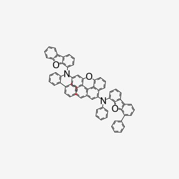 c1ccc(-c2ccccc2N(c2cc3c4c(ccc5cc(N(c6ccccc6)c6cccc7c6oc6c(-c8ccccc8)cccc67)c6cccc(c6c54)O3)c2)c2cccc3c2oc2ccccc23)cc1